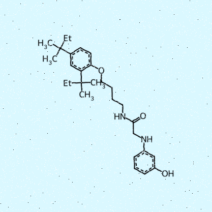 CCC(C)(C)c1ccc(OCCCCNC(=O)CNc2cccc(O)c2)c(C(C)(C)CC)c1